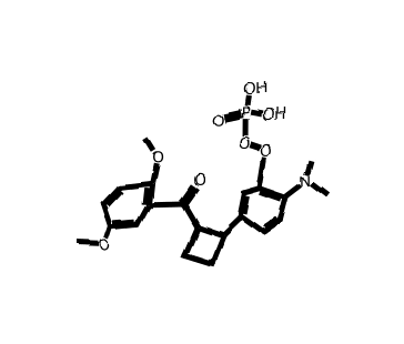 COc1ccc(OC)c(C(=O)C2CCC2c2ccc(N(C)C)c(OOP(=O)(O)O)c2)c1